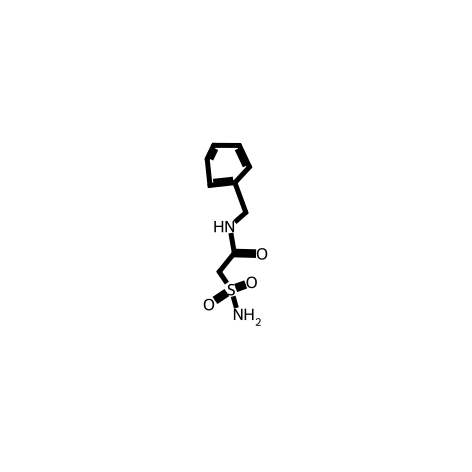 NS(=O)(=O)CC(=O)NCc1ccccc1